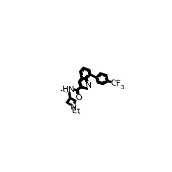 CCN1CC([C@H](C)NC(=O)c2cnc3c(-c4ccc(C(F)(F)F)cc4)cccc3c2)C1